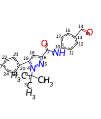 CC(C)(C)n1nc(C(=O)Nc2ccc(C=O)cc2)cc1-c1ccccc1